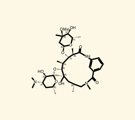 CO[C@]1(C)C[C@H](O[C@H]2[C@H](C)[C@@H](O[C@@H]3O[C@H](C)C[C@H](N(C)C)[C@H]3O)[C@](C)(O)C[C@@H](C)CN(C)C(=O)c3cccc(c3)NC(=O)[C@@H]2C)O[C@@H](C)[C@@H]1O